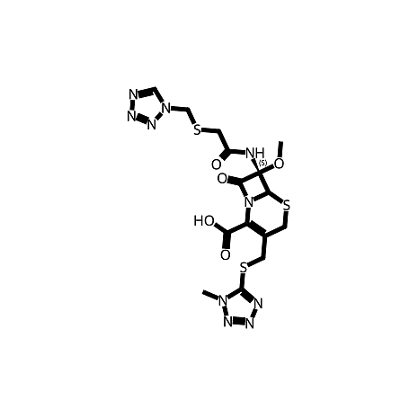 CO[C@@]1(NC(=O)CSCn2cnnn2)C(=O)N2C(C(=O)O)=C(CSc3nnnn3C)CSC21